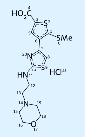 CSc1sc(C(=O)O)cc1-c1csc(NCCN2CCOCC2)n1.Cl